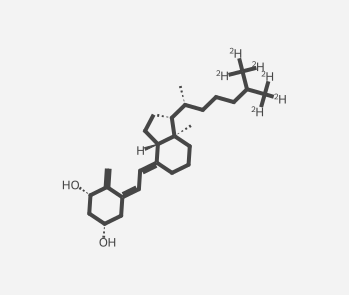 [2H]C([2H])([2H])C(CCC[C@@H](C)[C@H]1CC[C@H]2/C(=C/C=C3/C[C@H](O)C[C@H](O)C3=C)CCC[C@]12C)C([2H])([2H])[2H]